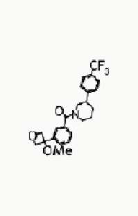 COC1(c2cccc(C(=O)N3CCCC(c4ccc(C(F)(F)F)cc4)C3)c2)COC1